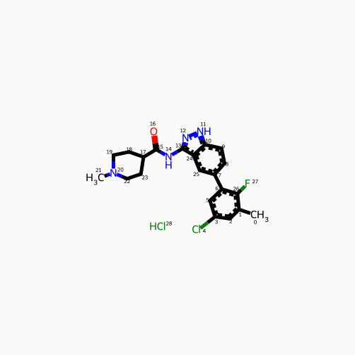 Cc1cc(Cl)cc(-c2ccc3[nH]nc(NC(=O)C4CCN(C)CC4)c3c2)c1F.Cl